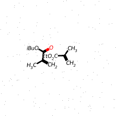 C=C(C)C(=O)OCC.C=C(C)C(=O)OCC(C)C